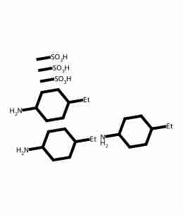 CCC1CCC(N)CC1.CCC1CCC(N)CC1.CCC1CCC(N)CC1.CS(=O)(=O)O.CS(=O)(=O)O.CS(=O)(=O)O